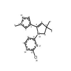 Cn1cc(C2=CC(C)(C)CN2c2ccnc(Cl)n2)cn1